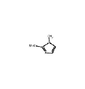 COc1nccn1C